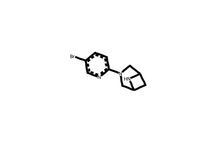 Brc1ccc(N2CC3CC(C2)N3)nc1